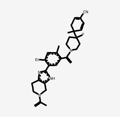 C=C(C)N1CCc2nc(-c3cc(C(=C)N4CCC(F)(C5(C)C=CC(C#N)=CC5)CC4)c(C)cc3CC)[nH]c2C1